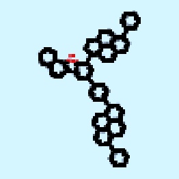 c1ccc(-c2ccc3ccc4c(-c5ccc(-c6cc(-c7ccc8ccc9c(-c%10ccccc%10)ccc%10ccc7c8c%109)c7oc8c9ccccc9ccc8c7c6)cc5)ccc5ccc2c3c54)cc1